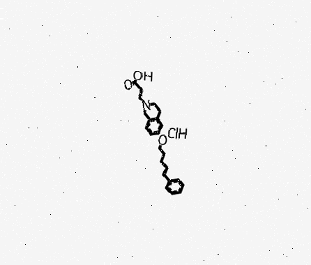 Cl.O=C(O)CCN1CCc2cc(OCCCCCc3ccccc3)ccc2C1